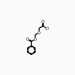 O=C(Cl)COCOC(=O)c1ccccc1